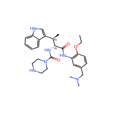 CCOc1ccc(CN(C)C)cc1NC(=O)[C@H](NC(=O)N1CCNCC1)[C@H](C)c1c[nH]c2ccccc12